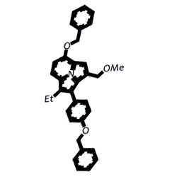 CCc1c(-c2ccc(OCc3ccccc3)cc2)c2c(COC)cc3c(OCc4ccccc4)ccc1n32